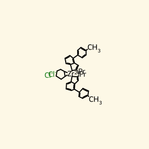 Cc1ccc(-c2cccc3c2C=C(C(C)C)[CH]3[Zr+2]2([CH]3C(C(C)C)=Cc4c(-c5ccc(C)cc5)cccc43)[CH]3CCCC[CH]32)cc1.[Cl-].[Cl-]